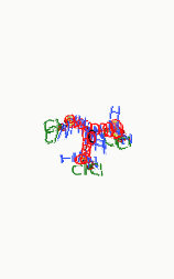 CN1Cc2c(Cl)cc(Cl)cc2[C@H](c2cccc(S(=O)(=O)NCCOCCOCCNC(=O)CCC(CCC(=O)NCCOCCOCCNS(=O)(=O)c3cccc([C@@H]4CN(C)Cc5c(Cl)cc(Cl)cc54)c3)(CCC(=O)NCCOCCOCCNS(=O)(=O)c3cccc([C@@H]4CN(C)Cc5c(Cl)cc(Cl)cc54)c3)N=C=O)c2)C1